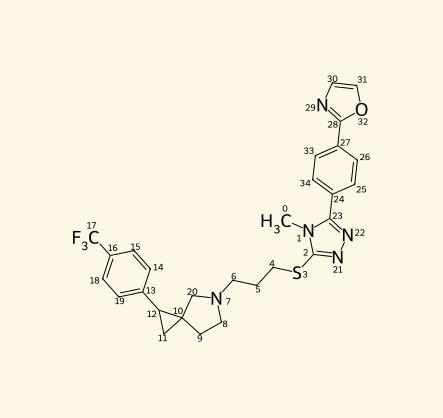 Cn1c(SCCCN2CCC3(CC3c3ccc(C(F)(F)F)cc3)C2)nnc1-c1ccc(-c2ncco2)cc1